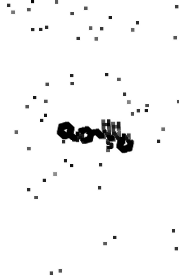 S=C(NCCC1CCN(Cc2ccccc2)CC1)Nc1ccccn1